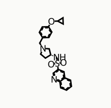 O=S(=O)(N[C@@H]1CCN(Cc2ccc(OC3CC3)cc2)C1)c1cnc2ccccc2c1